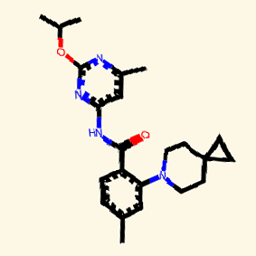 Cc1ccc(C(=O)Nc2cc(C)nc(OC(C)C)n2)c(N2CCC3(CC2)CC3)c1